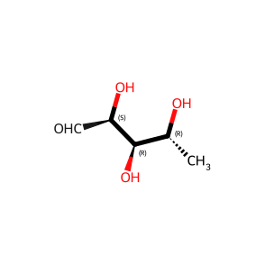 C[C@@H](O)[C@@H](O)[C@H](O)C=O